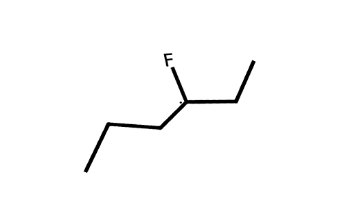 CCC[C](F)CC